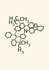 CC(C)(C)c1ccc(N(c2ccc3c(c2)C(=C(c2ccccc2)c2ccccc2)c2ccccc2C3(C)C)c2ccc3c(c2)oc2ccccc23)c(-c2ccccc2)c1